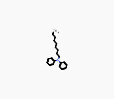 CCCCCCCCCN(c1ccccc1)c1ccccc1